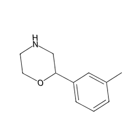 Cc1cccc(C2CNCCO2)c1